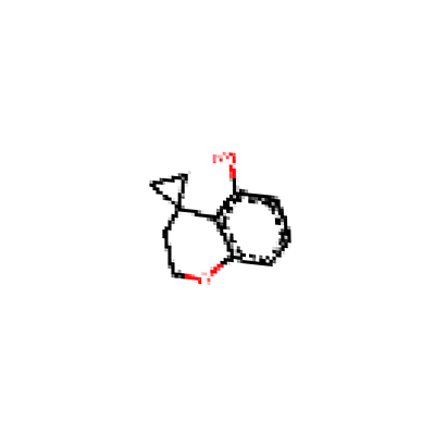 Oc1cccc2c1C1(CCO2)CC1